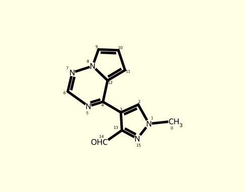 Cn1cc(-c2ncnn3cccc23)c(C=O)n1